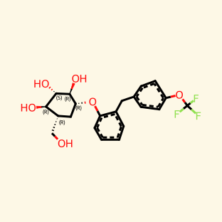 OC[C@H]1C[C@@H](Oc2ccccc2Cc2ccc(OC(F)(F)F)cc2)[C@H](O)[C@@H](O)[C@@H]1O